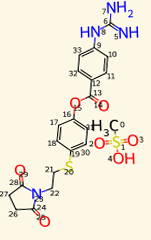 CS(=O)(=O)O.N=C(N)Nc1ccc(C(=O)Oc2ccc(SCCN3C(=O)CCC3=O)cc2)cc1